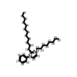 CCCCCCCCCCCCc1n(-c2ccccc2)cc[n+]1CCCCCCCC